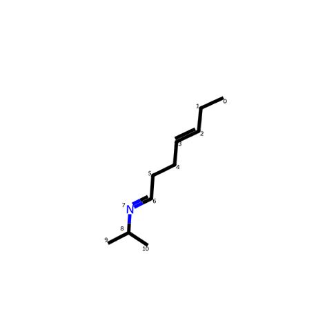 CC/C=C/CC/C=N/C(C)C